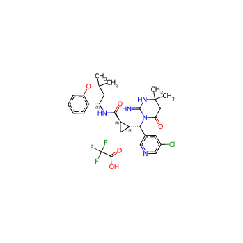 CC1(C)CC(=O)N(C(c2cncc(Cl)c2)[C@@H]2C[C@H]2C(=O)N[C@@H]2CC(C)(C)Oc3ccccc32)C(=N)N1.O=C(O)C(F)(F)F